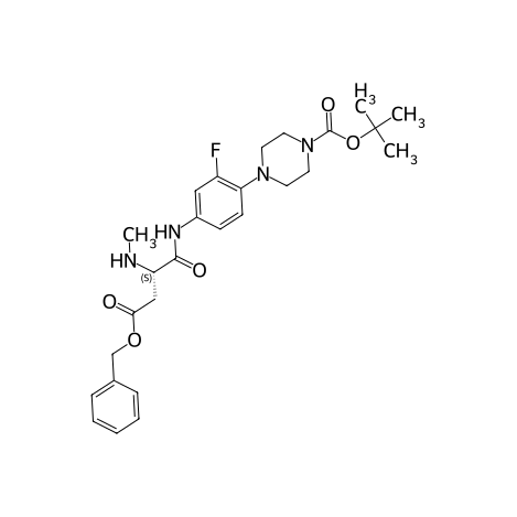 CN[C@@H](CC(=O)OCc1ccccc1)C(=O)Nc1ccc(N2CCN(C(=O)OC(C)(C)C)CC2)c(F)c1